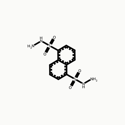 NNS(=O)(=O)c1cccc2c(S(=O)(=O)NN)cccc12